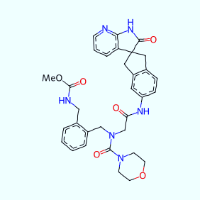 COC(=O)NCc1ccccc1CN(CC(=O)Nc1ccc2c(c1)CC1(C2)C(=O)Nc2ncccc21)C(=O)N1CCOCC1